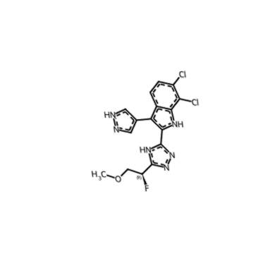 COC[C@H](F)c1nnc(-c2[nH]c3c(Cl)c(Cl)ccc3c2-c2cn[nH]c2)[nH]1